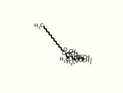 CCCCCCCCCCCCCCCCCC(=O)OC1CC(C)(C)N(CCC(C)(C)OC(=O)OC(C)(C)C)C(C)(C)C1